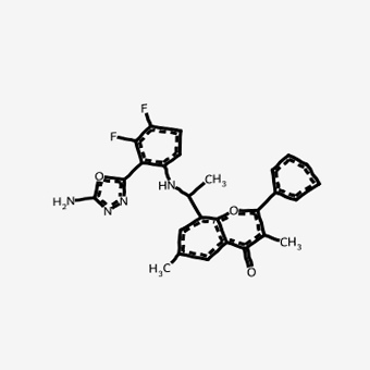 Cc1cc(C(C)Nc2ccc(F)c(F)c2-c2nnc(N)o2)c2oc(-c3ccccc3)c(C)c(=O)c2c1